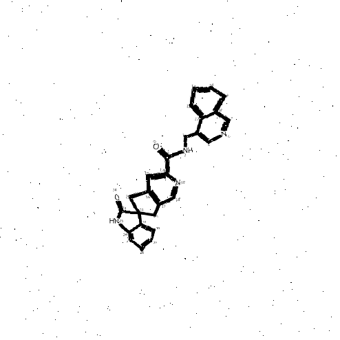 O=C(NCc1cncc2ccccc12)c1cc2c(cn1)CC1(C2)C(=O)Nc2ccccc21